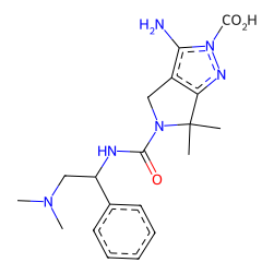 CN(C)CC(NC(=O)N1Cc2c(nn(C(=O)O)c2N)C1(C)C)c1ccccc1